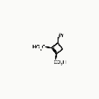 CC(C)C1CC(C(=O)O)=C1C(=O)O